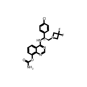 NC(=O)Oc1cccc2c(N[C@H](CN3CC(F)(F)C3)c3ccc(Cl)cc3)ncnc12